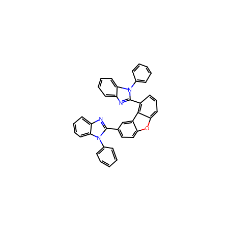 c1ccc(-n2c(-c3ccc4oc5cccc(-c6nc7ccccc7n6-c6ccccc6)c5c4c3)nc3ccccc32)cc1